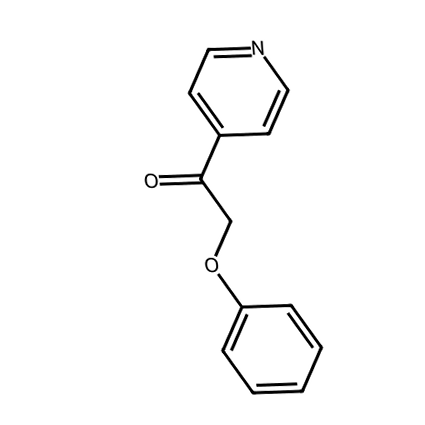 O=C(COc1ccccc1)c1ccncc1